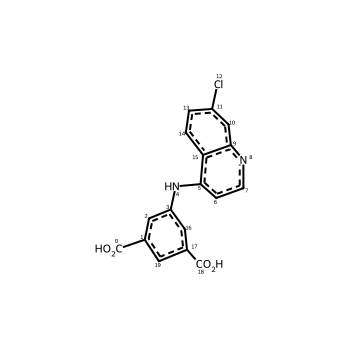 O=C(O)c1cc(Nc2ccnc3cc(Cl)ccc23)cc(C(=O)O)c1